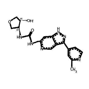 Cc1cc(-c2n[nH]c3cc(NC(=O)N[C@H]4COC[C@@H]4O)ncc23)ccn1